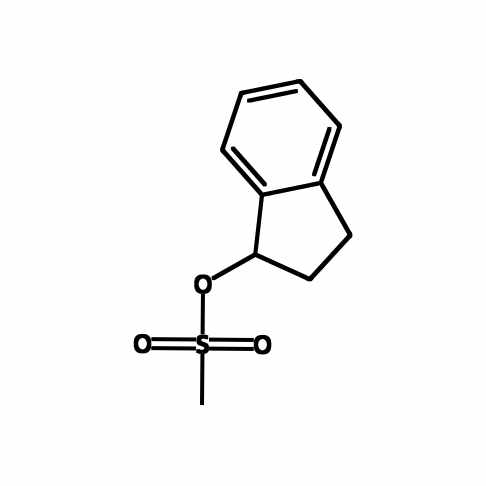 CS(=O)(=O)OC1CCc2ccccc21